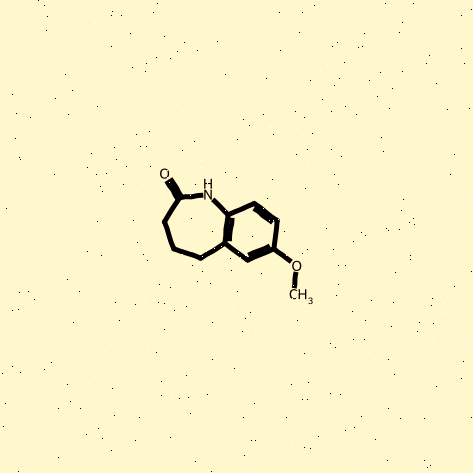 COc1ccc2c(c1)CCCC(=O)N2